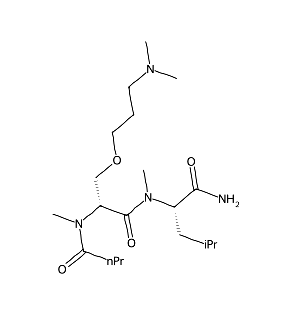 CCCC(=O)N(C)[C@H](COCCCN(C)C)C(=O)N(C)[C@@H](CC(C)C)C(N)=O